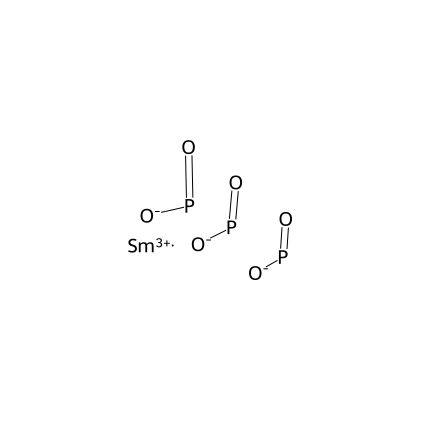 O=P[O-].O=P[O-].O=P[O-].[Sm+3]